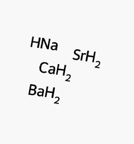 [BaH2].[CaH2].[NaH].[SrH2]